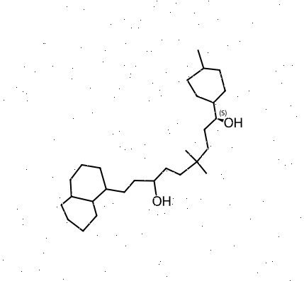 CC1CCC([C@@H](O)CCC(C)(C)CCC(O)CCC2CCCC3CCCCC32)CC1